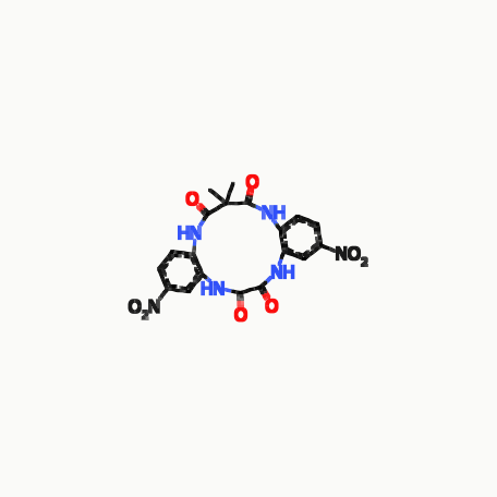 CC1(C)C(=O)Nc2ccc([N+](=O)[O-])cc2NC(=O)C(=O)Nc2cc([N+](=O)[O-])ccc2NC1=O